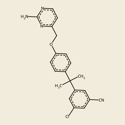 CC(C)(c1ccc(OCc2ccnc(N)n2)cc1)c1cc(Cl)cc(C#N)c1